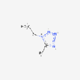 CC(C)c1nnnn1CC(=O)O